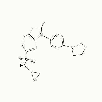 CC1Cc2ccc(S(=O)(=O)NC3CC3)cc2N1c1ccc(N2CCCC2)cc1